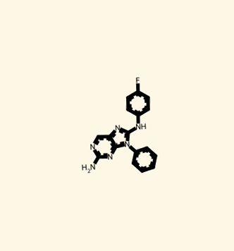 Nc1ncc2nc(Nc3ccc(F)cc3)n(-c3ccccc3)c2n1